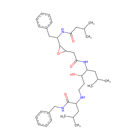 CC(C)CC(=O)NC(Cc1ccccc1)C1OC1CC(=O)NC(CC(C)C)C(O)CCNC(CC(C)C)C(=O)NCc1ccccc1